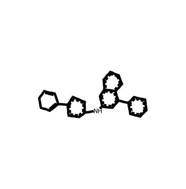 C1=CC(c2ccc(Nc3cc(-c4ccccc4)c4ccccc4c3)cc2)=CCC1